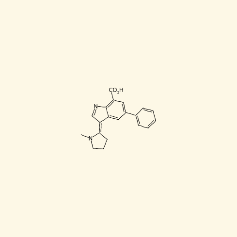 CN1CCCC1=C1C=Nc2c(C(=O)O)cc(-c3ccccc3)cc21